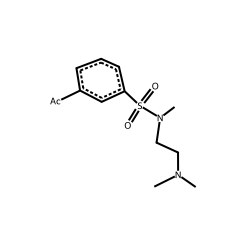 CC(=O)c1cccc(S(=O)(=O)N(C)CCN(C)C)c1